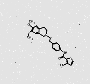 COc1cc2c(cc1OC)CN(CCc1ccc(NC(=O)c3sccc3N)cc1)CC2